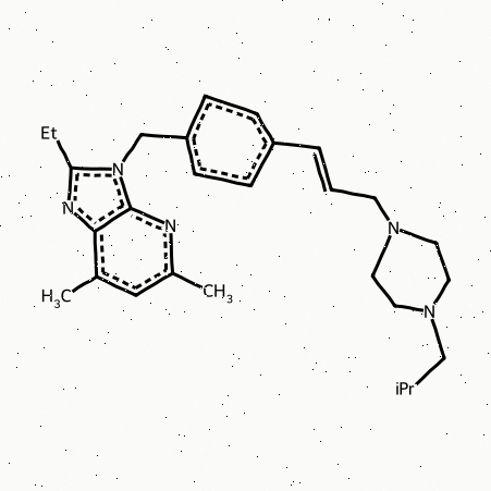 CCc1nc2c(C)cc(C)nc2n1Cc1ccc(C=CCN2CCN(CC(C)C)CC2)cc1